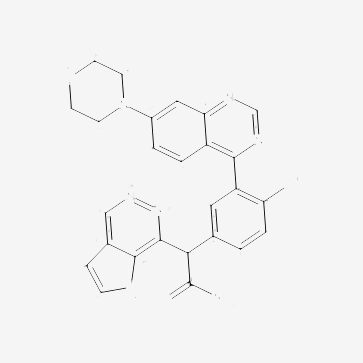 NC(=O)C(c1ccc(F)c(-c2ncnc3cc(N4CCOCC4)ccc23)c1)c1nncc2ccsc12